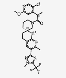 COc1cc([C@@H](C)C(=O)N2CCC[C@]3(CCc4cc(-c5nc(C(F)(F)F)n(C)n5)c(C)nc4N3)C2)c(Cl)cn1